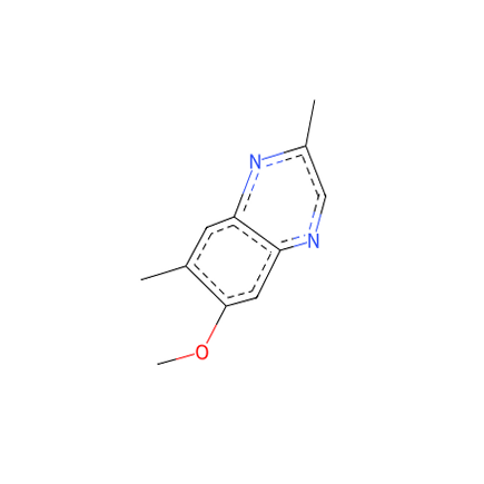 COc1cc2ncc(C)nc2cc1C